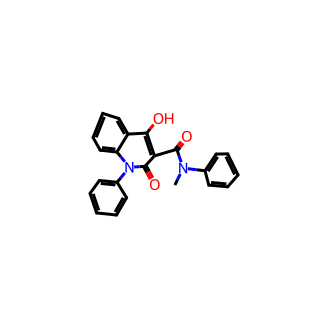 CN(C(=O)c1c(O)c2ccccc2n(-c2ccccc2)c1=O)c1ccccc1